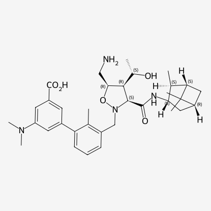 Cc1c(CN2O[C@@H](CN)[C@@H]([C@H](C)O)[C@H]2C(=O)N[C@H]2C[C@H]3C[C@@H]([C@@H]2C)C3(C)C)cccc1-c1cc(C(=O)O)cc(N(C)C)c1